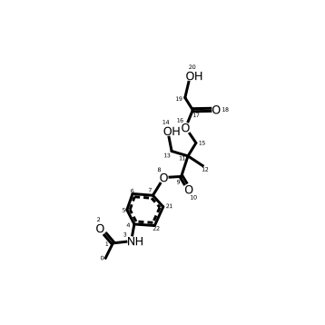 CC(=O)Nc1ccc(OC(=O)C(C)(CO)COC(=O)CO)cc1